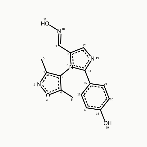 Cc1noc(C)c1-n1c(C=NO)cnc1-c1ccc(O)cc1